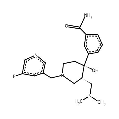 CN(C)C[C@@H]1CN(Cc2cncc(F)c2)CC[C@@]1(O)c1cccc(C(N)=O)c1